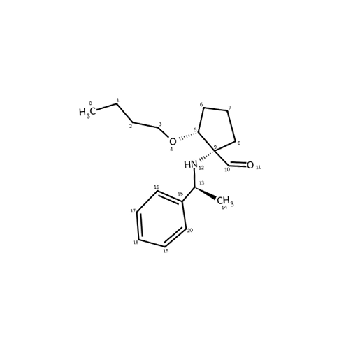 CCCCO[C@@H]1CCC[C@]1(C=O)N[C@@H](C)c1ccccc1